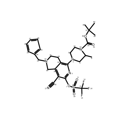 CC1CN(c2nc(OS(=O)(=O)C(F)(F)F)c(C#N)c3c2CCN(Cc2ccccc2)C3)CCN1C(=O)OC(C)(C)C